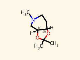 CN1CC[C@@H]2OC(C)(C)O[C@@H]2C1